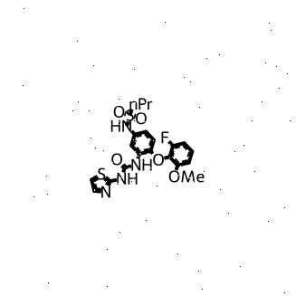 CCCS(=O)(=O)Nc1ccc(Oc2c(F)cccc2OC)c(NC(=O)Nc2nccs2)c1